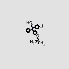 CN(C)CCOc1ccc(/C(=C(/CCO)c2ccc(Cl)cc2)c2ccccc2)cc1